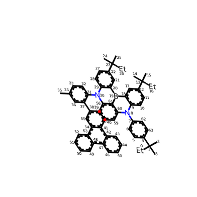 CCC(C)(C)c1ccc(N2c3ccc(C(C)(C)CC)cc3B3c4cc(C(C)(C)CC)ccc4N(c4ccc(C)cc4-c4ccc5c6ccccc6c6ccccc6c5c4)c4cccc2c43)cc1